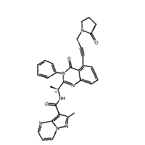 Cc1nn2cccnc2c1C(=O)N[C@@H](C)c1nc2cccc(C#CCN3CCCC3=O)c2c(=O)n1-c1ccccc1